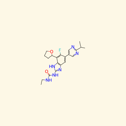 CCNC(=O)Nc1nc2cc(-c3cnc(C(C)C)nc3)c(F)c(C3CCCO3)c2[nH]1